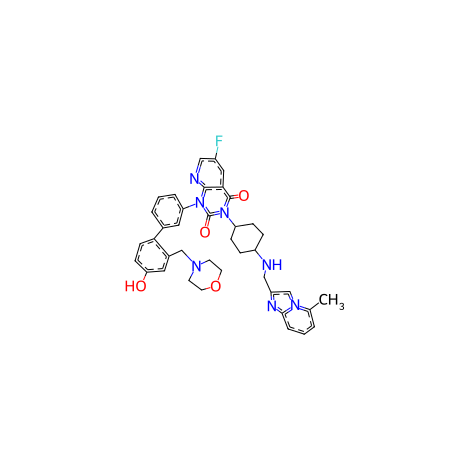 Cc1cccc2nc(CNC3CCC(n4c(=O)c5cc(F)cnc5n(-c5cccc(-c6ccc(O)cc6CN6CCOCC6)c5)c4=O)CC3)cn12